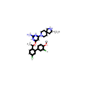 CCOc1ccc(-c2cc(Cl)ccc2C(Oc2cc(N3CCC4(CC3)CN[C@H](C(=O)O)C4)nc(N)n2)C(F)(F)F)cc1F